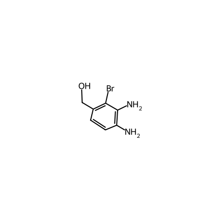 Nc1ccc(CO)c(Br)c1N